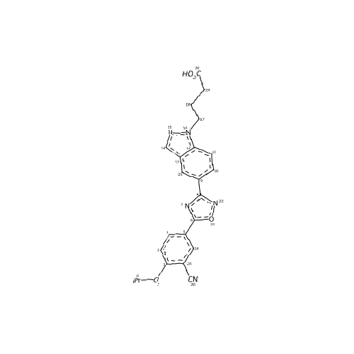 CC(C)Oc1ccc(-c2nc(-c3ccc4c(cnn4CCCC(=O)O)c3)no2)cc1C#N